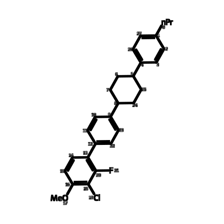 CCCc1ccc(C2CCC(c3ccc(-c4ccc(OC)c(Cl)c4F)cc3)CC2)cc1